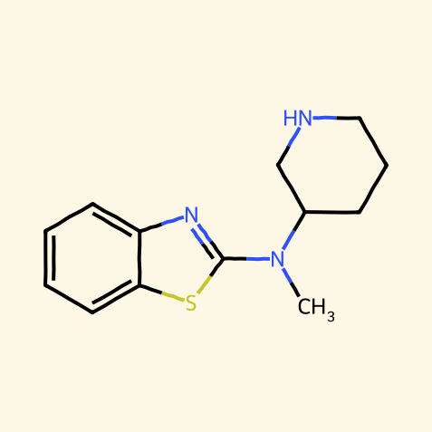 CN(c1nc2ccccc2s1)C1CCCNC1